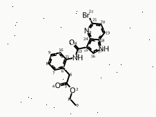 CCOC(=O)Cc1ccccc1NC(=O)c1c[nH]c2ccc(Br)nc12